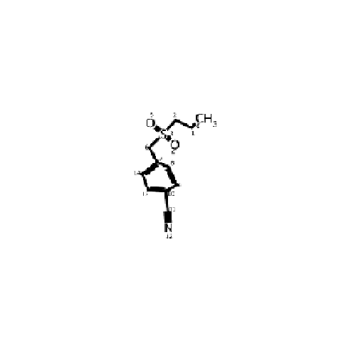 CCCS(=O)(=O)Cc1ccc(C#N)cc1